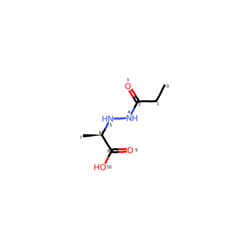 CCC(=O)NN[C@H](C)C(=O)O